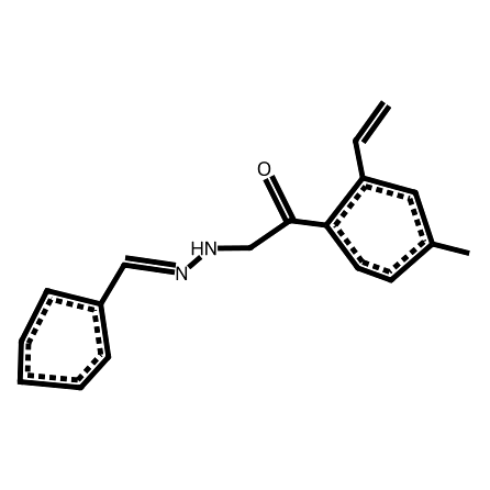 C=Cc1cc(C)ccc1C(=O)CNN=Cc1ccccc1